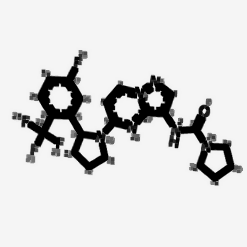 O=C(Nc1cnn2ccc(N3CCCC3c3cc(F)ccc3C(F)(F)F)nc12)N1CCCC1